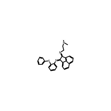 CN(C)CC/N=C1/C(=N/c2ccccc2Sc2ccccc2)c2cccc3cccc1c23